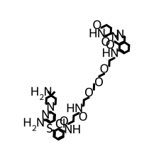 CC1(N)CCN(c2ccc(Sc3cccc(NC(=O)CCC(=O)NCCCOCCOCCOCCCNC4=CCCc5cnn(C6CCC(=O)NC6=O)c(=O)c54)c3Cl)c(N)n2)CC1